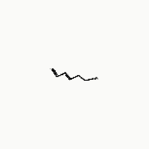 [CH]=CC=CCCCC[CH2]